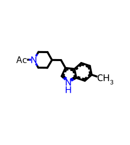 CC(=O)N1CCC(Cc2c[nH]c3cc(C)ccc23)CC1